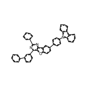 c1ccc(-c2cccc(-c3nc(-c4ccccc4)nc4c3oc3ccc(-c5ccc(-n6c7ccccc7c7ccccc76)cc5)cc34)c2)cc1